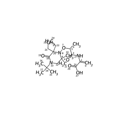 C=C(NC(=O)C(C)ON1C(C)(C)CN(C(C)(C)C)C(=O)C1(CC)CC)C(=O)O